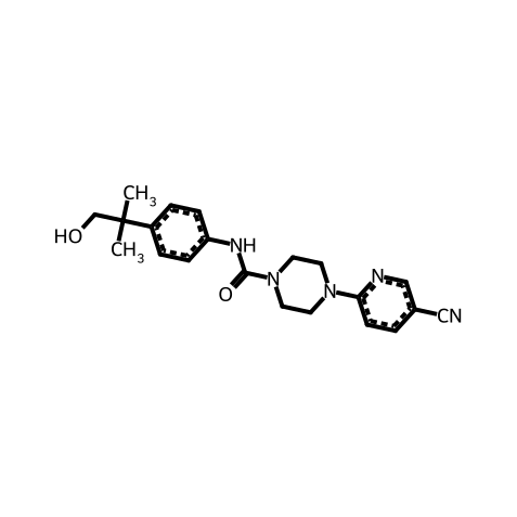 CC(C)(CO)c1ccc(NC(=O)N2CCN(c3ccc(C#N)cn3)CC2)cc1